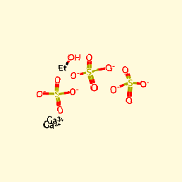 CCO.O=S(=O)([O-])[O-].O=S(=O)([O-])[O-].O=S(=O)([O-])[O-].[Ga+3].[Ga+3]